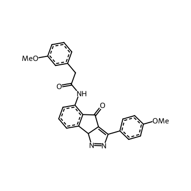 COc1ccc(C2=C3C(=O)c4c(NC(=O)Cc5cccc(OC)c5)cccc4C3N=N2)cc1